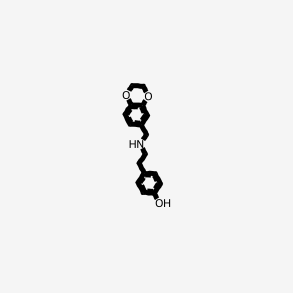 Oc1ccc(CCNCc2ccc3c(c2)OCCO3)cc1